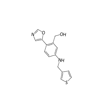 OCc1cc(NCc2ccsc2)ccc1-c1cnco1